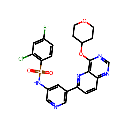 O=S(=O)(Nc1cncc(-c2ccc3ncnc(OC4CCOCC4)c3n2)c1)c1ccc(Br)cc1Cl